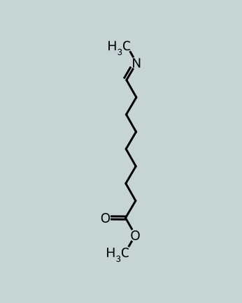 C/N=C/CCCCCCCC(=O)OC